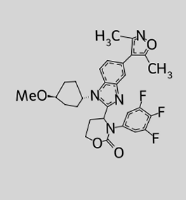 CO[C@H]1CC[C@H](n2c(C3CCOC(=O)N3c3cc(F)c(F)c(F)c3)nc3cc(-c4c(C)noc4C)ccc32)CC1